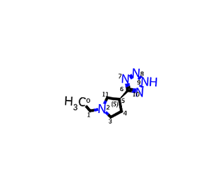 CCN1CC[C@H](c2nn[nH]n2)C1